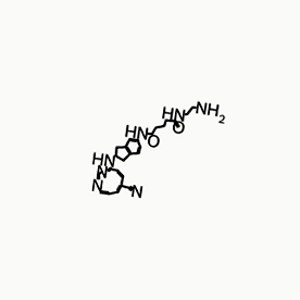 N#Cc1cccncnc(NC2Cc3ccc(NC(=O)CCCC(=O)NCCN)cc3C2)cc1